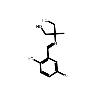 CC(CO)(CO)N=Cc1cc(Br)ccc1O